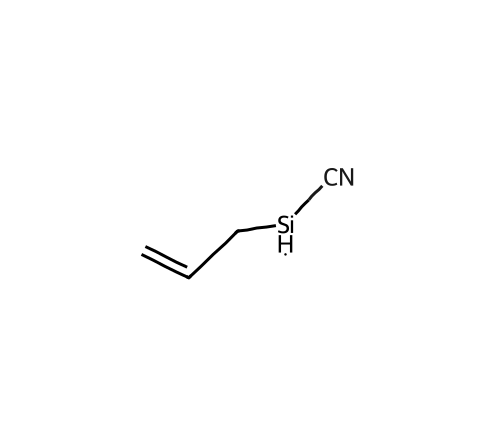 C=CC[SiH]C#N